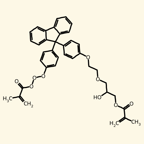 C=C(C)C(=O)OCC(O)COCCOc1ccc(C2(c3ccc(OOOC(=O)C(=C)C)cc3)c3ccccc3-c3ccccc32)cc1